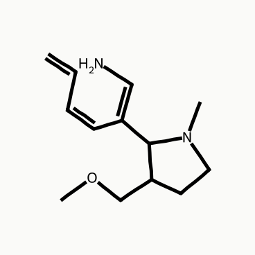 C=C/C=C\C(=C/N)C1C(COC)CCN1C